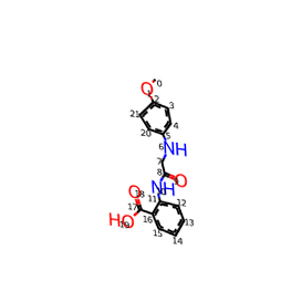 COc1ccc(NCC(=O)Nc2ccccc2C(=O)O)cc1